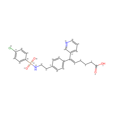 O=C(O)CCCC=C(c1ccc(CCNS(=O)(=O)c2ccc(Cl)cc2)cc1)c1cccnc1